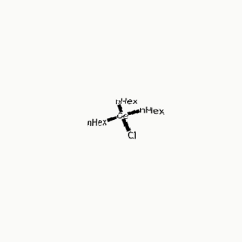 CCCCC[CH2][Ge]([Cl])([CH2]CCCCC)[CH2]CCCCC